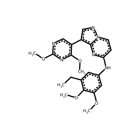 CCc1cc(Nc2ccn3ncc(-c4cnc(OC)nc4OC)c3n2)cc(OC)c1OC